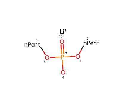 CCCCCOP(=O)([O-])OCCCCC.[Li+]